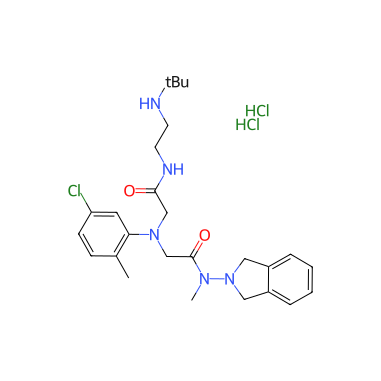 Cc1ccc(Cl)cc1N(CC(=O)NCCNC(C)(C)C)CC(=O)N(C)N1Cc2ccccc2C1.Cl.Cl